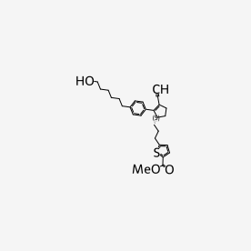 C#CC1=C(c2ccc(CCCCCCO)cc2)[C@@H](CCCc2ccc(C(=O)OC)s2)CC1